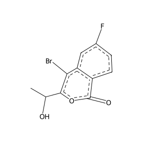 CC(O)c1oc(=O)c2ccc(F)cc2c1Br